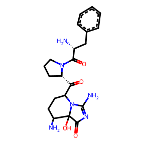 NC1=NC(=O)C2(O)C(N)CCC(C(=O)[C@@H]3CCCN3C(=O)[C@H](N)Cc3ccccc3)N12